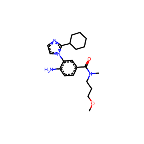 COCCCN(C)C(=O)c1ccc(N)c(-n2ccnc2C2CCCCC2)c1